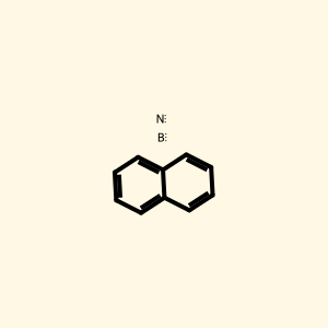 [B].[N].c1ccc2ccccc2c1